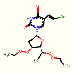 CCOOC(C)[C@H]1O[C@@H](n2cc(/C=C/Br)c(=O)[nH]c2=O)C[C@@H]1OOCC